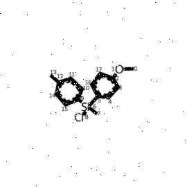 COc1ccc([Si](C)(Cl)c2ccc(C)cc2)cc1